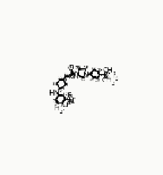 Cc1ccc(NC2CCC(CNC(=O)N3CCN(c4ccc(C(C)(C)C)cc4)CC3)CC2)cc1C(F)(F)F